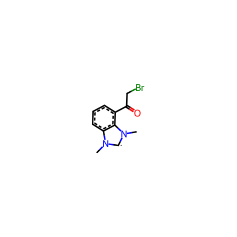 CN1[CH]N(C)c2c(C(=O)CBr)cccc21